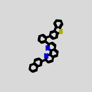 C1=Cc2cc(-c3ccc4ccc5ccc(-c6ccccc6-c6ccc7sc8ccccc8c7c6)nc5c4n3)ccc2CC1